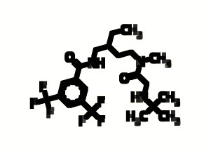 CCC(CCN(C)C(=O)CNC(C)(C)C)CNC(=O)c1cc(C(F)(F)F)cc(C(F)(F)F)c1